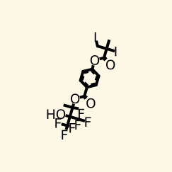 CC(I)(CI)C(=O)Oc1ccc(C(=O)OC(C)(C)C(O)(C(F)(F)F)C(F)(F)F)cc1